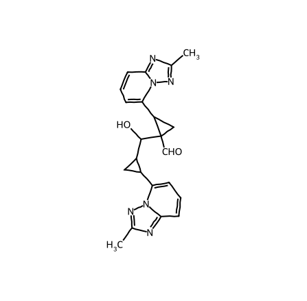 Cc1nc2cccc(C3CC3C(O)C3(C=O)CC3c3cccc4nc(C)nn34)n2n1